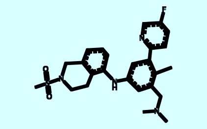 Cc1c(CN(C)C)cc(Nc2cccc3c2CCN(S(C)(=O)=O)C3)cc1-c1ccc(F)cn1